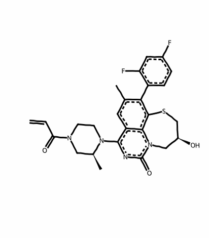 C=CC(=O)N1CCN(c2nc(=O)n3c4c(c(-c5ccc(F)cc5F)c(C)cc24)SC[C@@H](O)C3)[C@@H](C)C1